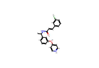 CC(NC(=O)C=Cc1cccc(F)c1)c1cccc(Oc2ccncc2)c1